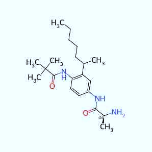 CCCCCC(C)c1cc(NC(=O)[C@H](C)N)ccc1NC(=O)C(C)(C)C